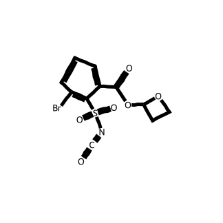 O=C=NS(=O)(=O)c1c(Br)cccc1C(=O)OC1CCO1